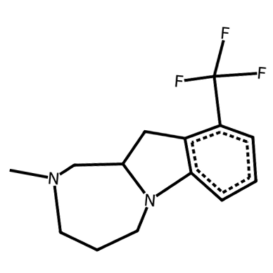 CN1CCCN2c3cccc(C(F)(F)F)c3CC2C1